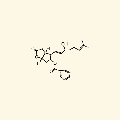 CC(C)=CCCC(O)C=C[C@H]1C(OC(=O)c2ccccc2)C[C@@H]2OC(=O)C[C@@H]21